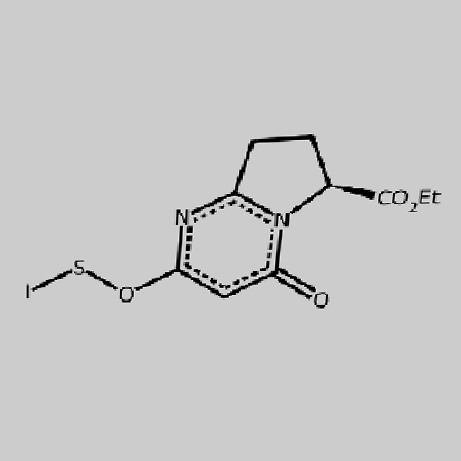 CCOC(=O)[C@@H]1CCc2nc(OSI)cc(=O)n21